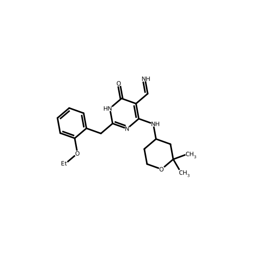 CCOc1ccccc1Cc1nc(NC2CCOC(C)(C)C2)c(C=N)c(=O)[nH]1